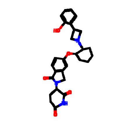 O=C1CCC(N2Cc3cc(O[C@@H]4CCCC[C@@H]4N4CC(c5ccccc5O)C4)ccc3C2=O)C(=O)N1